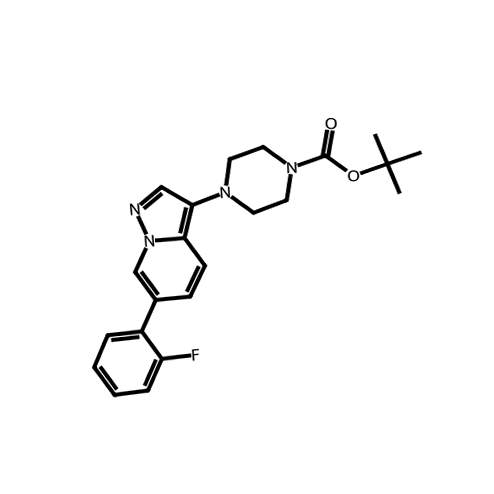 CC(C)(C)OC(=O)N1CCN(c2cnn3cc(-c4ccccc4F)ccc23)CC1